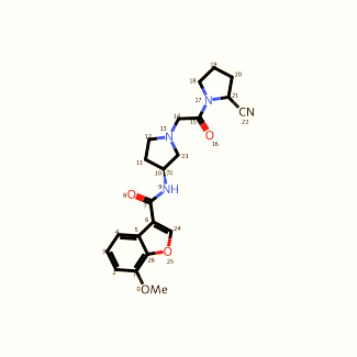 COc1cccc2c(C(=O)N[C@H]3CCN(CC(=O)N4CCCC4C#N)C3)coc12